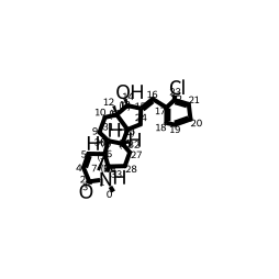 CN1C(=O)C=C[C@]2(C)[C@H]3CC[C@]4(C)[C@@H](O)C(=Cc5ccccc5Cl)C[C@H]4[C@@H]3CC[C@@H]12